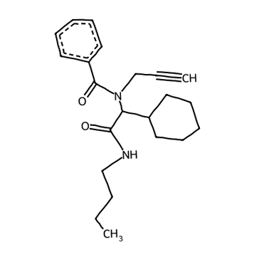 C#CCN(C(=O)c1ccccc1)C(C(=O)NCCCC)C1CCCCC1